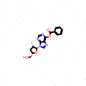 O=C(Oc1ncnc2c1ncn2[C@@H]1O[C@H](CO)C[C@H]1F)c1ccccc1